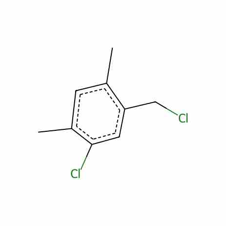 Cc1cc(C)c(CCl)cc1Cl